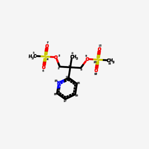 CC(COS(C)(=O)=O)(COS(C)(=O)=O)c1ccccn1